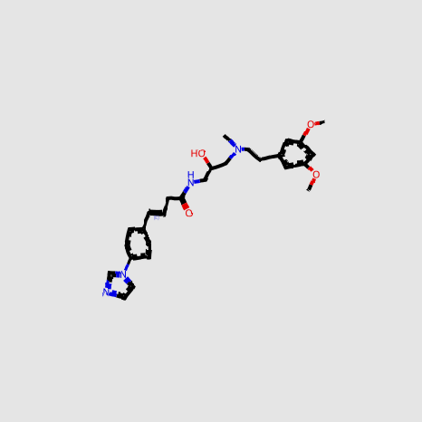 COc1cc(CCN(C)CC(O)CNC(=O)C/C=C/c2ccc(-n3ccnc3)cc2)cc(OC)c1